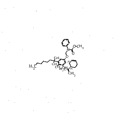 C=C(C)[C@@H]1CCC=C[C@H]1c1c(OCN(C(=O)OC)c2ccccc2)cc(C(C)(C)CCCCCC)c(C)c1O